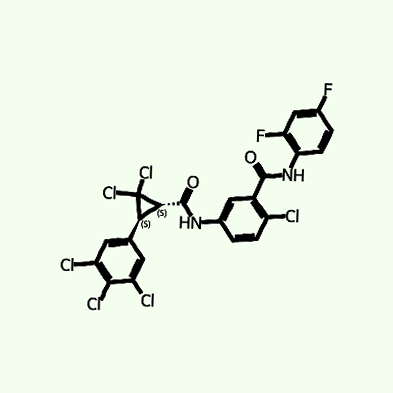 O=C(Nc1ccc(F)cc1F)c1cc(NC(=O)[C@@H]2[C@@H](c3cc(Cl)c(Cl)c(Cl)c3)C2(Cl)Cl)ccc1Cl